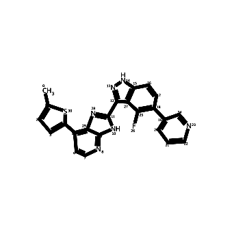 Cc1ccc(-c2ccnc3[nH]c(-c4n[nH]c5ccc(-c6cccnc6)c(F)c45)nc23)s1